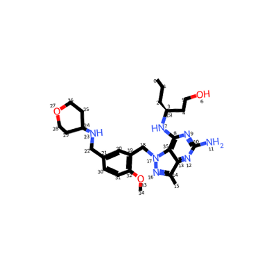 CCC[C@@H](CCO)Nc1nc(N)nc2c(C)nn(Cc3cc(CNC4CCOCC4)ccc3OC)c12